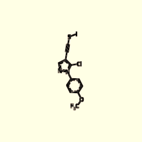 FC(F)(F)Oc1ccc(-n2ncc(C#CSI)c2Cl)cc1